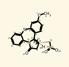 COc1ccc2c(c1)Sc1ccccc1N1C(=O)C[C@H]3[C@H](C[N+](=O)[O-])CC[C@]231